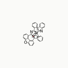 c1ccc(-c2nc(-c3ccccc3)nc(-c3cccc4oc5cccc(-c6ccc(-c7nc8ccccc8s7)cc6)c5c34)n2)cc1